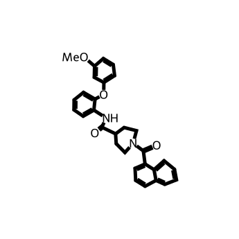 COc1cccc(Oc2ccccc2NC(=O)C2CCN(C(=O)c3cccc4ccccc34)CC2)c1